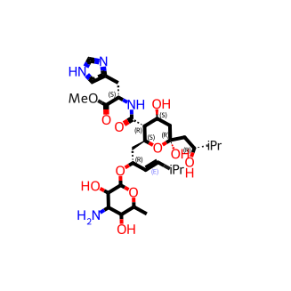 COC(=O)[C@H](Cc1c[nH]cn1)NC(=O)[C@H]1[C@H](C[C@H](/C=C/C(C)C)OC2OC(C)C(O)C(N)C2O)O[C@](O)(C[C@@H](O)C(C)C)C[C@@H]1O